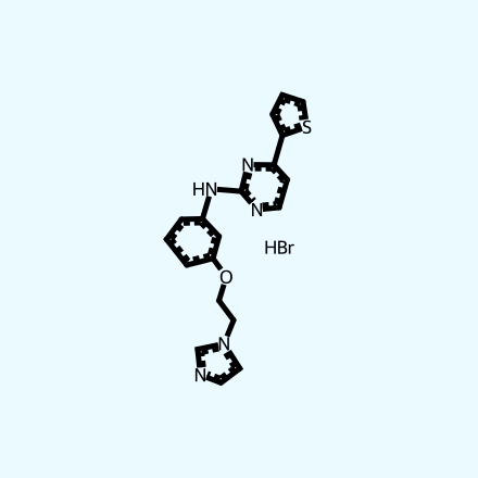 Br.c1cc(Nc2nccc(-c3cccs3)n2)cc(OCCn2ccnc2)c1